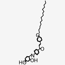 CCCCCCCCCCCCCCCCOc1ccc(C=CC(=O)c2ccc(N=Cc3ccc(O)cc3O)cc2)cc1